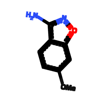 COc1ccc2c(N)noc2c1